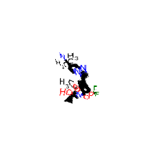 COc1cc(-c2cnc3cc(C(C)(C)C#N)ccn23)cc(OC(F)F)c1C(=O)N1CC(O)(C2CC2)C1